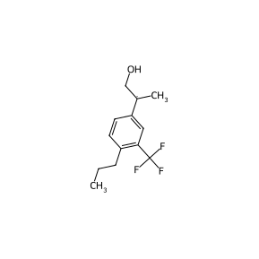 CCCc1ccc([C](C)CO)cc1C(F)(F)F